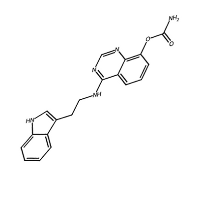 NC(=O)Oc1cccc2c(NCCc3c[nH]c4ccccc34)ncnc12